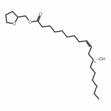 CCCCCC[C@@H](O)C/C=C\CCCCCCCC(=O)OCC1CCCO1